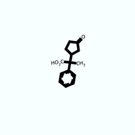 CC(C(=O)O)(c1ccccc1)C1CCC(=O)C1